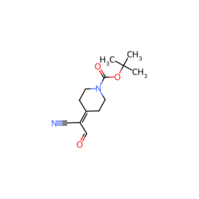 CC(C)(C)OC(=O)N1CCC(=C(C#N)C=O)CC1